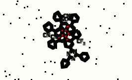 N#Cc1ccccc1-c1ccc2c(c1)c1cc(-c3ccccc3C#N)ccc1n2-c1ccc(-c2nc(-c3ccccc3)nc(-c3ccccc3)n2)cc1-c1c(-n2c3ccc(-c4ccccc4C#N)cc3c3cc(-c4ccccc4C#N)ccc32)cccc1C(F)(F)F